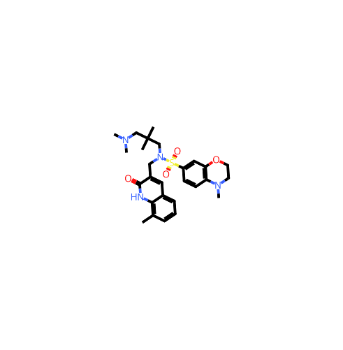 Cc1cccc2cc(CN(CC(C)(C)CN(C)C)S(=O)(=O)c3ccc4c(c3)OCCN4C)c(=O)[nH]c12